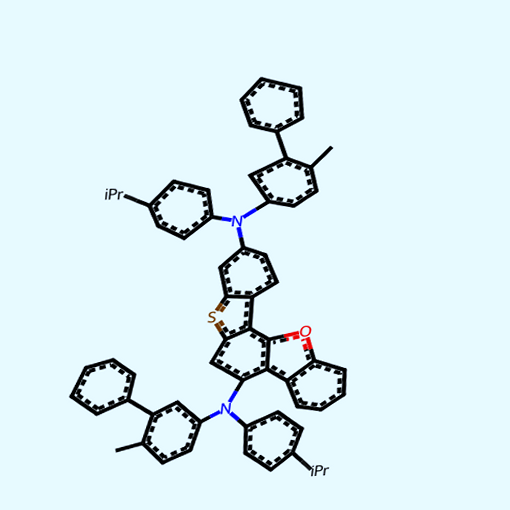 Cc1ccc(N(c2ccc(C(C)C)cc2)c2ccc3c(c2)sc2cc(N(c4ccc(C(C)C)cc4)c4ccc(C)c(-c5ccccc5)c4)c4c5ccccc5oc4c23)cc1-c1ccccc1